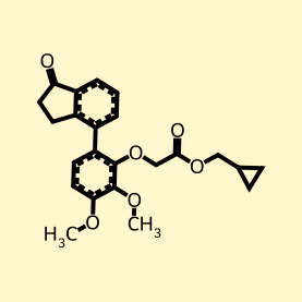 COc1ccc(-c2cccc3c2CCC3=O)c(OCC(=O)OCC2CC2)c1OC